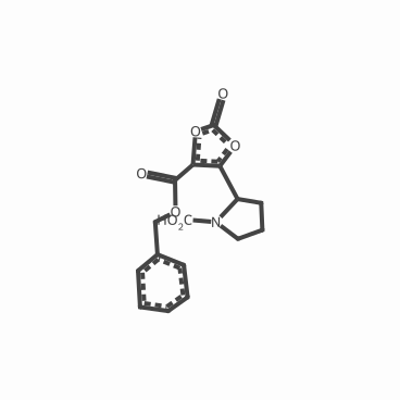 O=C(OCc1ccccc1)c1oc(=O)oc1C1CCCN1C(=O)O